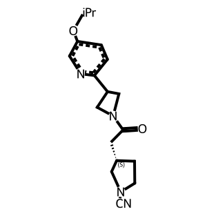 CC(C)Oc1ccc(C2CN(C(=O)C[C@@H]3CCN(C#N)C3)C2)nc1